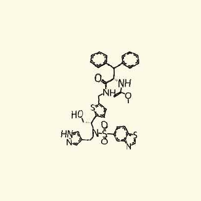 C=C(N[C@H](C(=O)NCc1ccc([C@@H](CO)N(Cc2cn[nH]c2)S(=O)(=O)c2ccc3scnc3c2)s1)C(c1ccccc1)c1ccccc1)OC